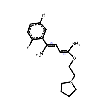 N/C(=C\C=C(/N)OCCN1CCCC1)c1cc(Cl)ccc1F